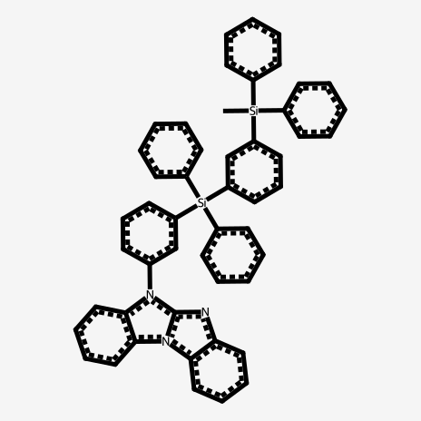 C[Si](c1ccccc1)(c1ccccc1)c1cccc([Si](c2ccccc2)(c2ccccc2)c2cccc(-n3c4ccccc4n4c5ccccc5nc34)c2)c1